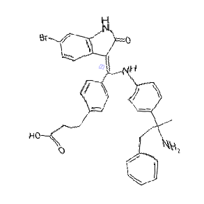 CC(N)(Cc1ccccc1)c1ccc(N/C(=C2\C(=O)Nc3cc(Br)ccc32)c2ccc(CCC(=O)O)cc2)cc1